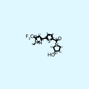 Cn1nc(-c2ccc(C(=O)N3CC[C@@H](O)C3)s2)cc1C(F)(F)F